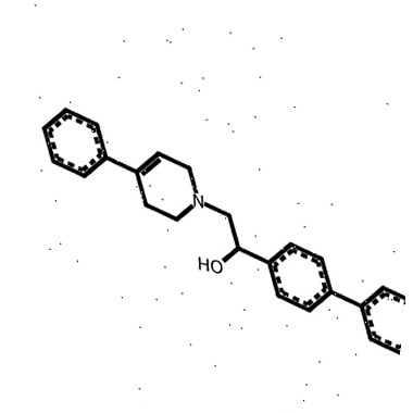 OC(CN1CC=C(c2ccccc2)CC1)c1ccc(-c2ccccc2)cc1